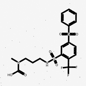 CN(CCCNS(=O)(=O)c1cc(S(=O)(=O)c2ccccc2)ccc1C(F)(F)F)C(=O)O